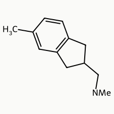 CNCC1Cc2ccc(C)cc2C1